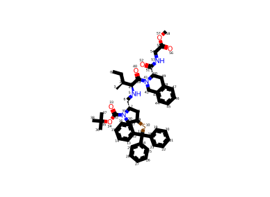 CC[C@H](C)[C@H](NC[C@@H]1CC(SC(c2ccccc2)(c2ccccc2)c2ccccc2)CN1C(=O)OC(C)(C)C)C(=O)N1Cc2ccccc2C[C@H]1C(=O)NCC(=O)OC